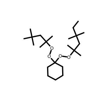 CCC(C)(C)CC(C)(C)OOC1(OOC(C)(C)CC(C)(C)C)CCCCC1